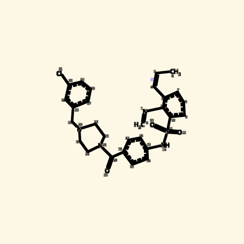 C=Nc1c(/C=C\C)cccc1S(=O)(=O)Nc1ccc(C(=O)N2CCN(Cc3cccc(Cl)c3)CC2)cc1